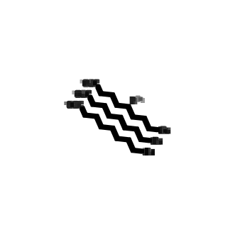 CC(C)(C)CCCCCCCC(=O)[O-].CC(C)(C)CCCCCCCC(=O)[O-].CC(C)(C)CCCCCCCC(=O)[O-].[Bi+3]